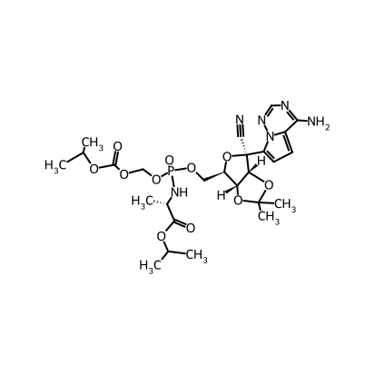 CC(C)OC(=O)OCOP(=O)(N[C@@H](C)C(=O)OC(C)C)OC[C@H]1O[C@@](C#N)(c2ccc3c(N)ncnn23)[C@@H]2OC(C)(C)O[C@@H]21